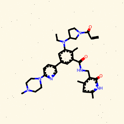 C=CC(=O)N1CCC(N(CC)c2cc(-c3ccc(N4CCN(C)CC4)nc3)cc(C(=O)NCc3c(C)cc(C)[nH]c3=O)c2C)C1